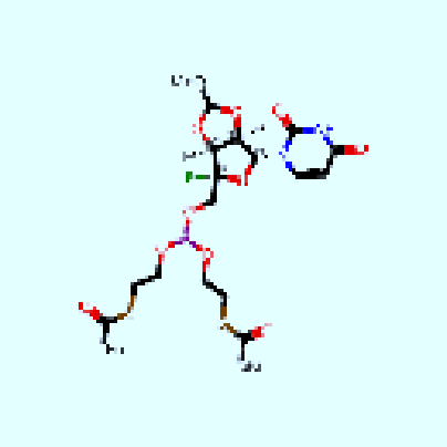 COC1O[C@H]2[C@@](C)(O1)[C@H](n1ccc(=O)[nH]c1=O)O[C@]2(F)COP(OCCSC(=O)C(C)(C)C)OCCSC(=O)C(C)(C)C